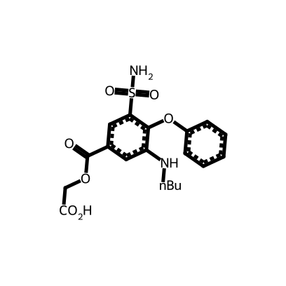 CCCCNc1cc(C(=O)OCC(=O)O)cc(S(N)(=O)=O)c1Oc1ccccc1